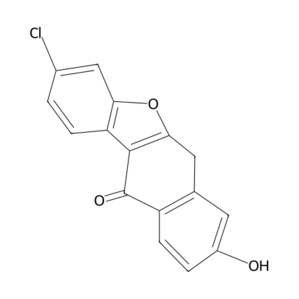 O=C1c2ccc(O)cc2Cc2oc3cc(Cl)ccc3c21